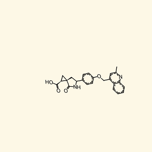 Cc1cc(COc2ccc(C3C[C@@]4(C[C@@H]4C(=O)O)C(=O)N3)cc2)c2ccccc2n1